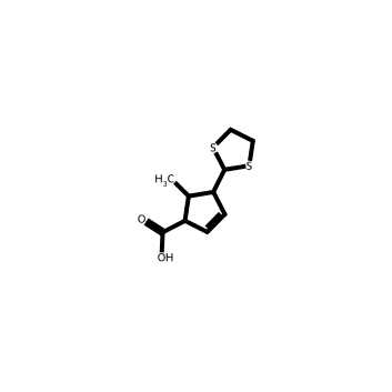 CC1C(C(=O)O)C=CC1C1SCCS1